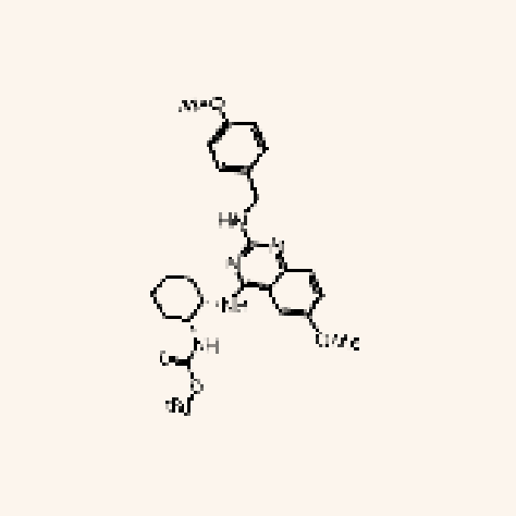 COc1ccc(CNc2nc(N[C@H]3CCCC[C@H]3NC(=O)OC(C)(C)C)c3cc(OC)ccc3n2)cc1